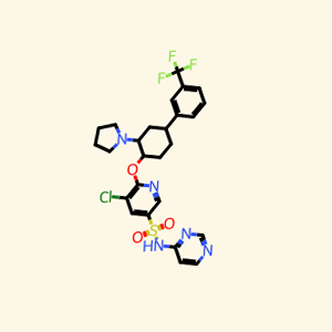 O=S(=O)(Nc1ccncn1)c1cnc(OC2CCC(c3cccc(C(F)(F)F)c3)CC2N2CCCC2)c(Cl)c1